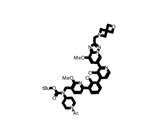 COc1nc(-c2cccc(-c3ccnc(-c4cc(OC)c5nc(CN6CC7(COC7)C6)nn5c4)c3Cl)c2Cl)ccc1CN(C(=O)OC(C)(C)C)C1CCN(C(C)=O)CC1